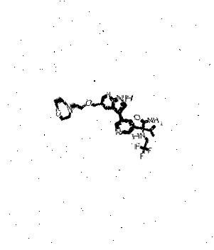 CC(C)[C@@](NCC(F)(F)F)(C(N)=O)c1cncc(-c2c[nH]c3ncc(COCCN4CCOCC4)cc23)c1